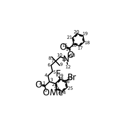 COC(=O)C(CCCC(C)(C)CN(C)OC(=O)c1ccccc1)c1cccc(Br)c1F